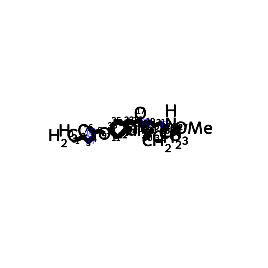 C=CC/C=C\C(=C/C)COC1=CC=c2oc(C(=O)/C(=C/C/C=C(\C)NC(=O)OC)NC(=C)C=C)cc2=CC1